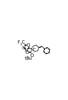 CC(C)(C)OC(=O)[N+]1(c2nnc(C(F)(F)F)o2)CCC(=Cc2ccccc2)CC1